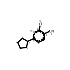 N#Cc1ccc(C2CCCC2)nc1Cl